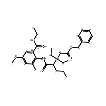 CCCC(C(=O)Nc1c(C)cc(OC)cc1C(=O)OCC)[N+](CC)(CC)CC(=O)OCc1ccccc1